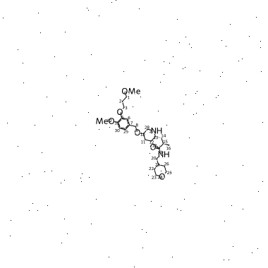 COCCCOc1cc(CO[C@@H]2CC[C@@H](C[C@@H](C)C(=O)NCC3CCOCC3)NC2)ccc1OC